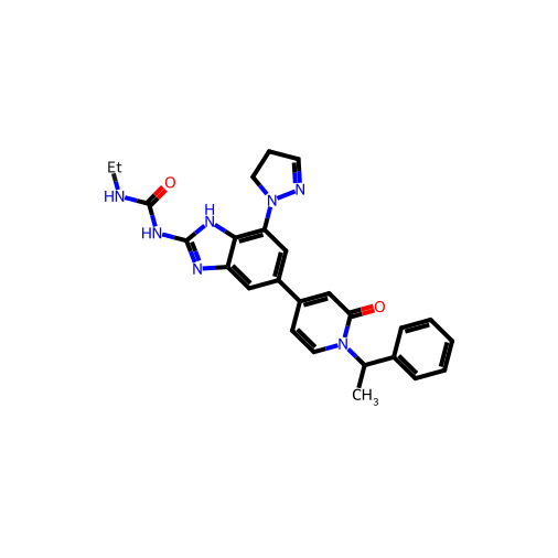 CCNC(=O)Nc1nc2cc(-c3ccn(C(C)c4ccccc4)c(=O)c3)cc(N3CCC=N3)c2[nH]1